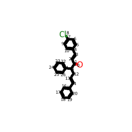 O=C(C=Cc1ccc(Cl)cc1)C(CC=Cc1ccccc1)c1ccccc1